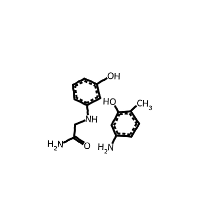 Cc1ccc(N)cc1O.NC(=O)CNc1cccc(O)c1